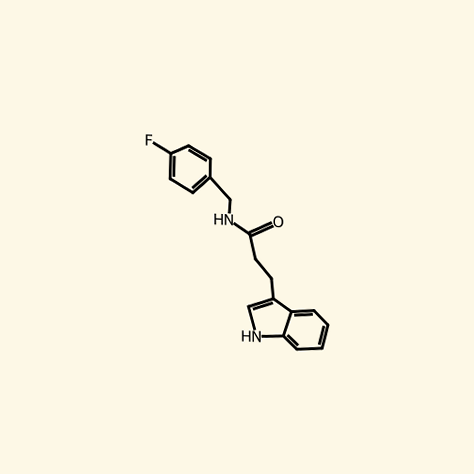 O=C(CCc1c[nH]c2ccccc12)NCc1ccc(F)cc1